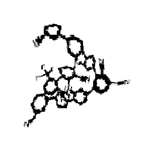 N#Cc1cccc(-c2ccc3c4ccc(-c5cccc(C#N)c5)cc4n(-c4ccc(-c5c(C(F)(F)F)cccc5C(F)(F)F)c(-n5c6cc(-c7cccc(C#N)c7)ccc6c6ccc(-c7cccc(C#N)c7)cc65)c4C#N)c3c2)c1